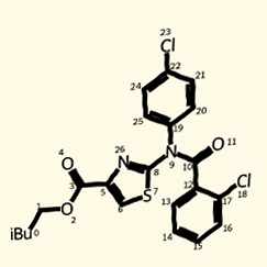 CCC(C)COC(=O)c1csc(N(C(=O)c2ccccc2Cl)c2ccc(Cl)cc2)n1